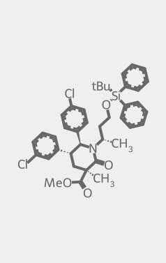 COC(=O)[C@@]1(C)C[C@H](c2cccc(Cl)c2)[C@@H](c2ccc(Cl)cc2)N([C@@H](C)CCO[Si](c2ccccc2)(c2ccccc2)C(C)(C)C)C1=O